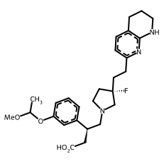 COC(C)Oc1cccc([C@H](CC(=O)O)CN2CC[C@@](F)(CCc3ccc4c(n3)NCCC4)C2)c1